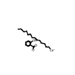 CCCCCCCCCCCCC[CH2][Ca+].O=C([O-])c1ccccc1O